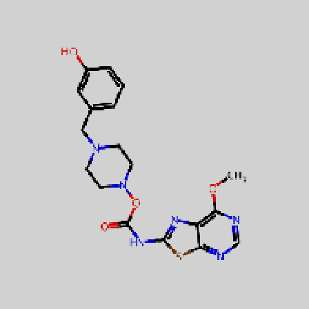 COc1ncnc2sc(NC(=O)ON3CCN(Cc4cccc(O)c4)CC3)nc12